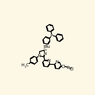 Cc1ccc(N2C[C@H](C(C)(C)C)N=C2c2cccc(-c3ccccn3)n2)cc1.[Cl][Ru][Cl].c1ccc(P(c2ccccc2)c2ccccc2)cc1